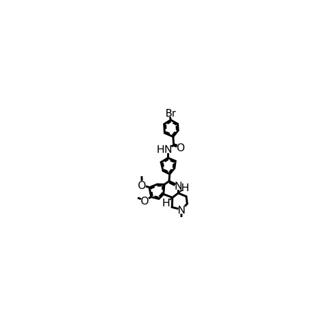 COc1cc2c(cc1OC)[C@H]1CN(C)CC[C@H]1N=C2c1ccc(NC(=O)c2ccc(Br)cc2)cc1